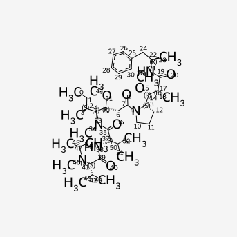 CC[C@H](C)[C@@H]([C@@H](CC(=O)N1CCC[C@H]1[C@H](OC)[C@@H](C)C(=O)N[C@H](C)Cc1ccccc1)OC)N(C)C(=O)[C@@H](NC(=O)[C@H](C(C)C)N(C)C(C)C)C(C)C